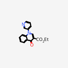 CCOC(=O)c1cn(-c2cccnc2)c2ccccc2c1=O